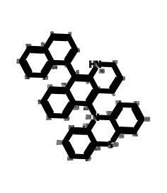 C1=Cc2c(c(-c3cccc4ccccc34)c3ccccc3c2N2c3ccccc3Sc3ccccc32)NC1